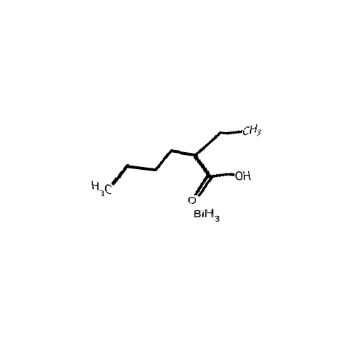 CCCCC(CC)C(=O)O.[BiH3]